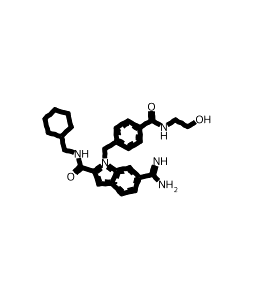 N=C(N)c1ccc2cc(C(=O)NCC3CCCCC3)n(Cc3ccc(C(=O)NCCO)cc3)c2c1